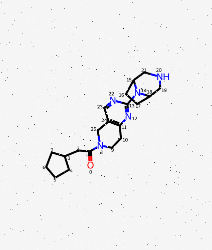 O=C(CC1CCCC1)N1CCc2nc(N3C4CCC3CNC4)ncc2C1